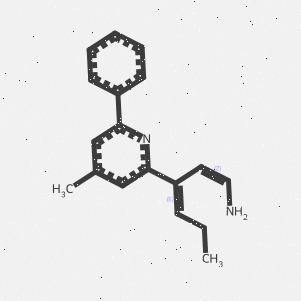 CC/C=C(\C=C/N)c1cc(C)cc(-c2ccccc2)n1